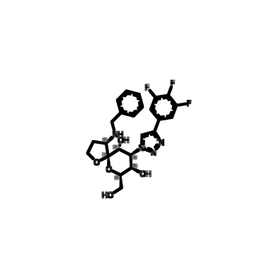 OC[C@H]1O[C@]2(OCC[C@H]2NCc2ccccc2)[C@H](O)[C@@H](n2cc(-c3cc(F)c(F)c(F)c3)nn2)[C@H]1O